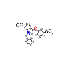 CCOC(=O)C1CN(Cc2ccccc2)CC1Oc1cccc([N+](=O)[O-])c1